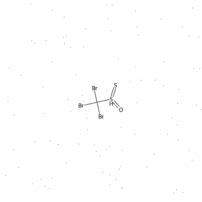 O=[SH](=S)C(Br)(Br)Br